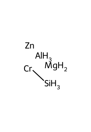 [AlH3].[MgH2].[SiH3][Cr].[Zn]